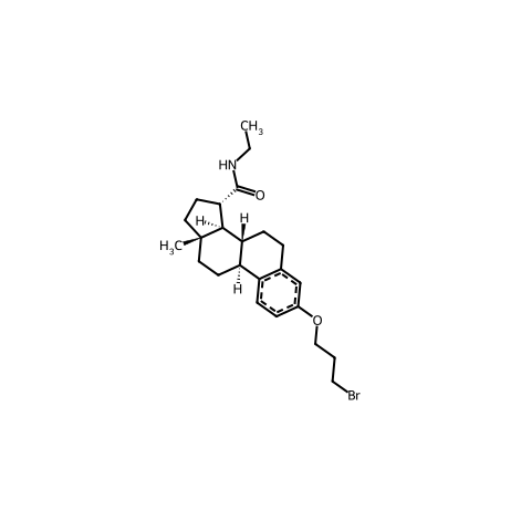 CCNC(=O)[C@H]1CC[C@@]2(C)CC[C@@H]3c4ccc(OCCCBr)cc4CC[C@H]3[C@H]12